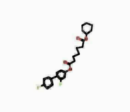 O=C(CCCCCC(=O)OC1CCCCC1)Oc1ccc(-c2ccc(F)cc2)c(F)c1